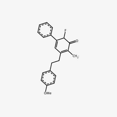 [CH2]C1=C(CCc2ccc(OC)cc2)C=C(c2ccccc2)C(F)C1=O